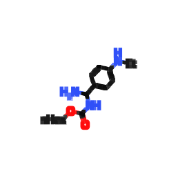 CCCCCCOC(=O)NC(N)c1ccc(NCC)cc1